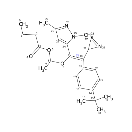 CCCC(=O)OC(C)O/C(=C(\c1ccc(C(C)(C)C)cc1)C1C=N1)c1cc(C)nn1C